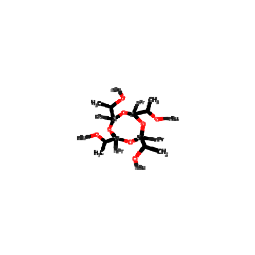 CCCCOC(C)[Si]1(CCC)O[Si](CCC)(C(C)OCCCC)O[Si](CCC)(C(C)OCCCC)O[Si](CCC)(C(C)OCCCC)O1